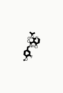 COc1ccc(CNC(=O)c2c(Cl)ccnc2[S+]([O-])C(C)C)cc1F